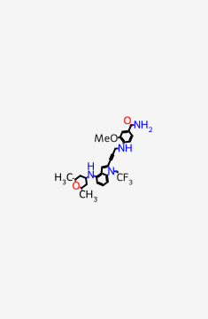 COc1cc(C(N)=O)ccc1NCC#Cc1cc2c(N[C@@H]3C[C@@H](C)O[C@@H](C)C3)cccc2n1CC(F)(F)F